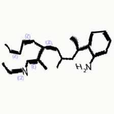 C\C=C/C=C\C(=C\C(C)CC(C)c1ccccc1N)C(\C)=C\N=C/C